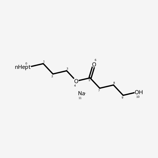 CCCCCCCCCCOC(=O)CCCO.[Na]